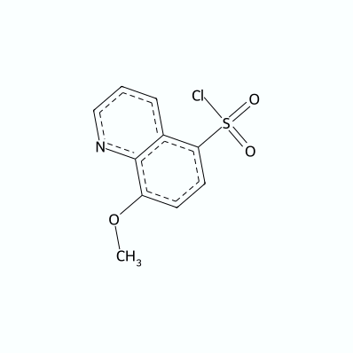 COc1ccc(S(=O)(=O)Cl)c2cccnc12